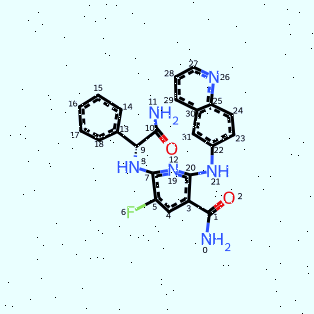 NC(=O)c1cc(F)c(N[C@@H](C(N)=O)c2ccccc2)nc1Nc1ccc2ncccc2c1